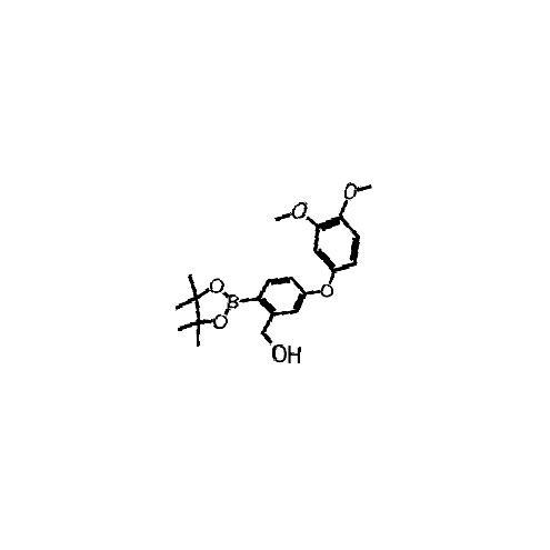 COc1ccc(Oc2ccc(B3OC(C)(C)C(C)(C)O3)c(CO)c2)cc1OC